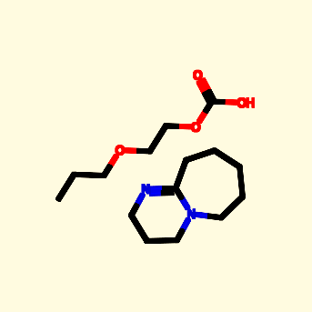 C1CCC2=NCCCN2CC1.CCCOCCOC(=O)O